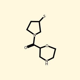 O=C(C1CNCCO1)N1CCC([S])C1